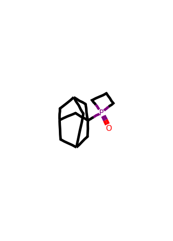 O=P1(C23CC4CC(CC(C4)C2)C3)CCC1